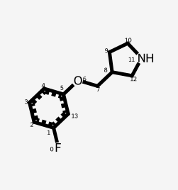 Fc1cccc(OCC2CCNC2)c1